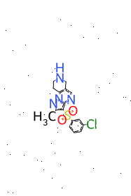 Cc1nn2c3c(cnc2c1S(=O)(=O)c1cccc(Cl)c1)CNCC3